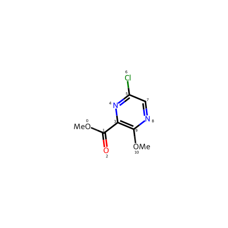 COC(=O)c1nc(Cl)cnc1OC